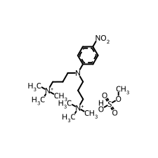 COS(=O)(=O)O.C[N+](C)(C)CCCN(CCC[N+](C)(C)C)c1ccc([N+](=O)[O-])cc1